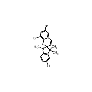 CN1c2ccc(Cl)cc2C(C)(C)C12C=Cc1cc(Br)cc(Br)c1O2